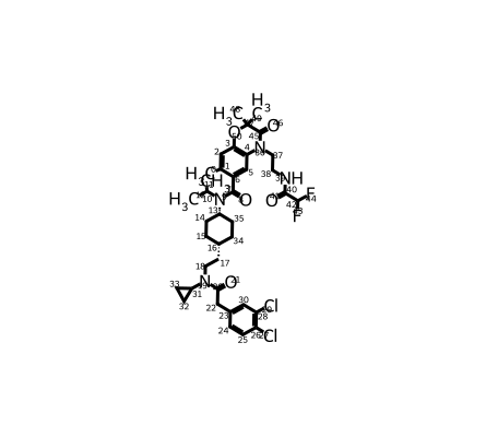 Cc1cc2c(cc1C(=O)N(C(C)C)[C@H]1CC[C@@H](CCN(C(=O)Cc3ccc(Cl)c(Cl)c3)C3CC3)CC1)N(CCNC(=O)C(F)F)C(=O)C(C)(C)O2